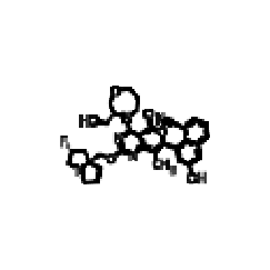 Cc1c(-c2cc(O)cc3cccc(C#N)c23)oc(=O)c2c(N3CCCOC[C@@H]3CO)nc(OC[C@@]34CCCN3C[C@H](F)C4)nc12